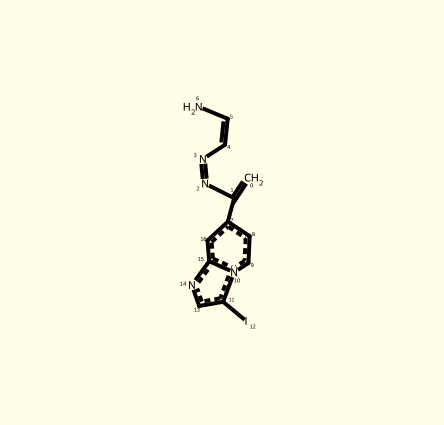 C=C(/N=N\C=C/N)c1ccn2c(I)cnc2c1